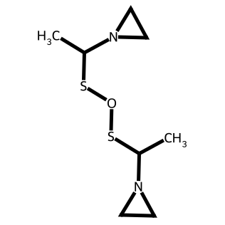 CC(SOSC(C)N1CC1)N1CC1